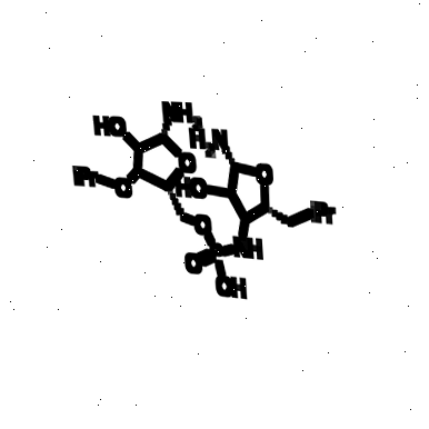 CC(C)C[C@H]1O[C@@H](N)C(O)C1NP(=O)(O)OC[C@H]1O[C@@H](N)C(O)C1OC(C)C